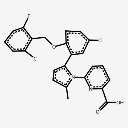 Cc1ccc(-c2cc(Cl)ccc2OCc2c(F)cccc2Cl)n1-c1cccc(C(=O)O)n1